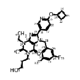 CCn1c(=O)n(CCCO)c(=O)c2c1nc(-c1ccc(OC3CCC3)nc1)n2Cc1cc(F)cc(F)c1